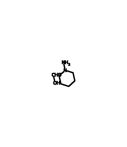 NN1CCCCC1.O=CO